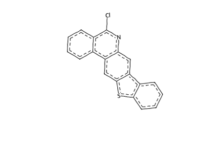 Clc1nc2cc3c(cc2c2ccccc12)sc1ccccc13